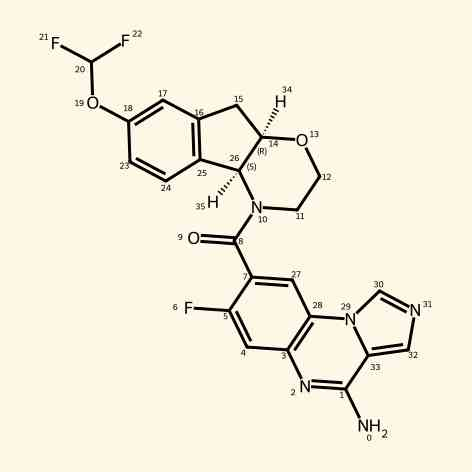 Nc1nc2cc(F)c(C(=O)N3CCO[C@@H]4Cc5cc(OC(F)F)ccc5[C@@H]43)cc2n2cncc12